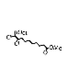 CCCCCCCC/C(Cl)=C(/Cl)CCCCCCCC(=O)OC